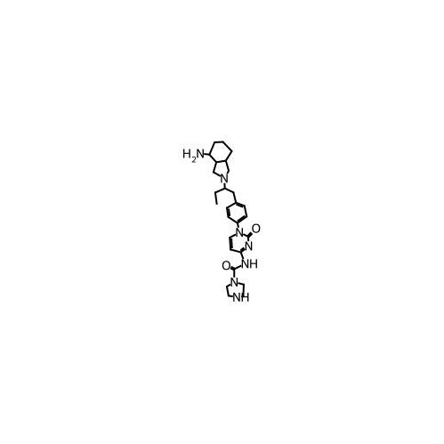 CCC(Cc1ccc(-n2ccc(NC(=O)N3CCNCC3)nc2=O)cc1)N1CC2CCCC(N)C2C1